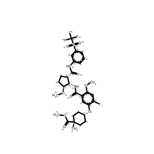 COc1cc(F)c(O[C@H]2CC[C@@](C)(C(=O)OC)CC2)cc1C(=O)N[C@@H]1[C@@H](OC)CC[C@@H]1C(=O)Nc1cccc(S(=O)(=O)C(F)(F)I)c1